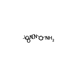 CC(C)(C)OC(=O)N1CCN(Cc2cccc(CN)c2)CC1